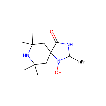 CCCC1NC(=O)C2(CC(C)(C)NC(C)(C)C2)N1O